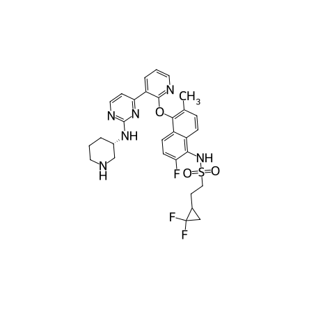 Cc1ccc2c(NS(=O)(=O)CCC3CC3(F)F)c(F)ccc2c1Oc1ncccc1-c1ccnc(N[C@H]2CCCNC2)n1